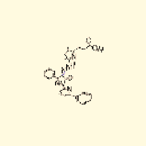 Cc1sc(N/N=C2\C(=O)N(c3nc(-c4ccccc4)cs3)N=C2c2ccccc2)nc1CCC(=O)O